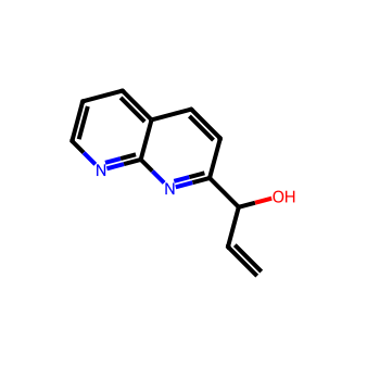 C=CC(O)c1ccc2cccnc2n1